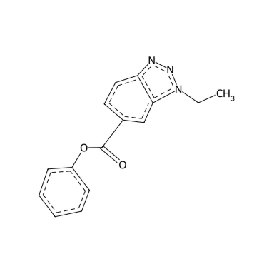 CCn1nnc2ccc(C(=O)Oc3ccccc3)cc21